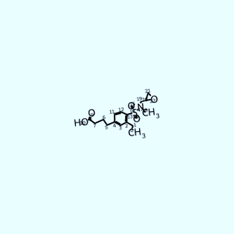 CCc1cc(CCCC(=O)O)ccc1S(=O)(=O)N(C)C[C@H]1CO1